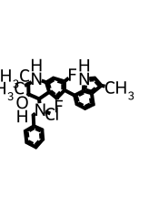 Cc1c[nH]c2c(-c3c(F)cc4c(c3F)C(N(Cl)Cc3ccccc3)C(O)C(C)(C)N4)cccc12